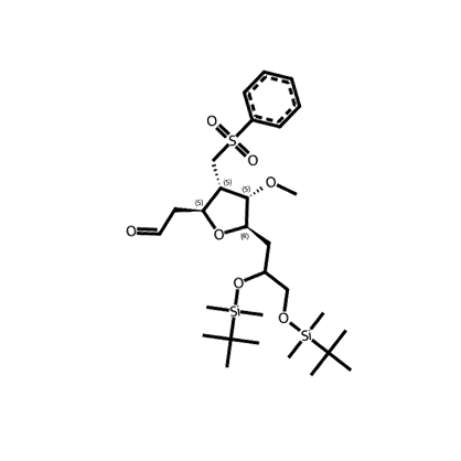 CO[C@H]1[C@@H](CS(=O)(=O)c2ccccc2)[C@H](CC=O)O[C@@H]1CC(CO[Si](C)(C)C(C)(C)C)O[Si](C)(C)C(C)(C)C